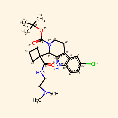 CN(C)CCNC(=O)C1(C2c3[nH]c4ccc(Cl)cc4c3CCN2C(=O)OC(C)(C)C)CCC1